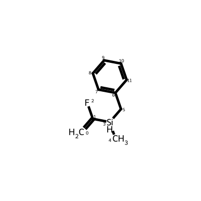 C=C(F)[SiH](C)Cc1ccccc1